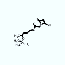 CC(C=CCOC(=O)CN1C(=O)CC1S)O[Si](C)(C)C